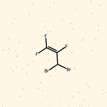 FC(F)=C(F)C(Br)Br